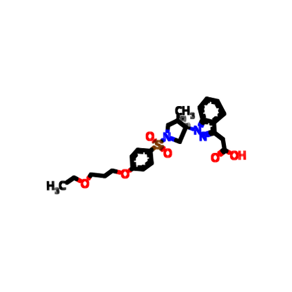 CCOCCCOc1ccc(S(=O)(=O)N2C[C@@H](C)[C@@H](n3nc(CC(=O)O)c4ccccc43)C2)cc1